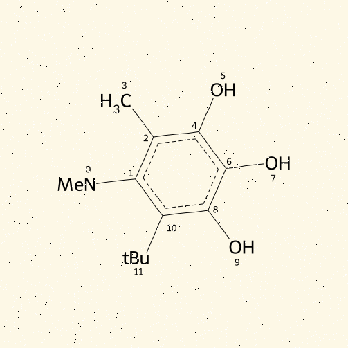 CNc1c(C)c(O)c(O)c(O)c1C(C)(C)C